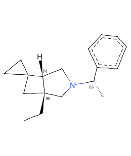 CC[C@]12CN([C@@H](C)c3ccccc3)C[C@H]1C1(CC1)C2